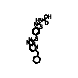 O=C(O)Nc1nc2ccc(Sc3nnc4ccc(CC5CCCCC5)nn34)cc2s1